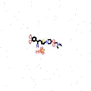 CCN(CC)CC(=O)OC1CCN(c2ccc(/C=C(\C#N)c3ccc(OC)c(OC)c3)s2)CC1.CS(=O)(=O)O